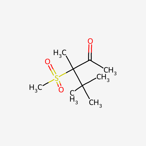 CC(=O)C(C)(C(C)(C)C)S(C)(=O)=O